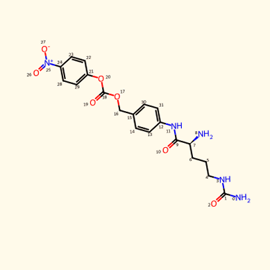 NC(=O)NCCC[C@H](N)C(=O)Nc1ccc(COC(=O)Oc2ccc([N+](=O)[O-])cc2)cc1